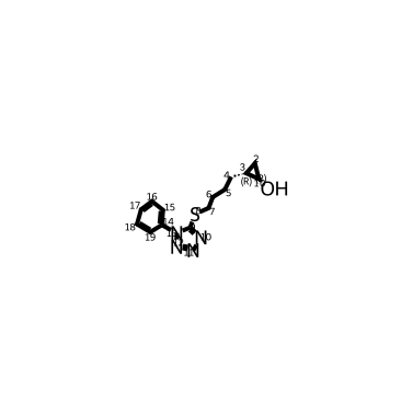 O[C@@H]1C[C@H]1CCCCSc1nnnn1-c1ccccc1